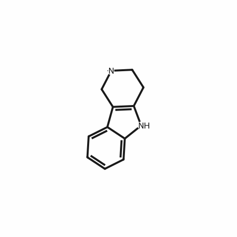 c1ccc2c3c([nH]c2c1)CC[N]C3